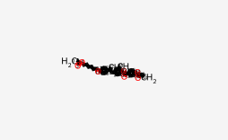 C=CC(=O)OCCCCCCOc1ccc(C(=C)Cc2ccc(OC(=O)c3ccc(OC(=O)C=C)cc3)c(C)c2)cc1